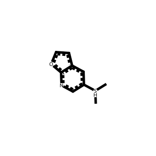 C[SH](C)c1cnc2occc2c1